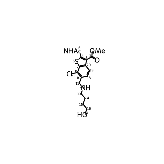 COC(=O)c1c(NC(C)=O)sc2c(Cl)c(CNCCCCO)ccc12